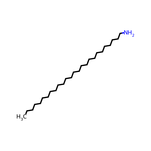 CCCCCCCCCCCCCCCCCCCCCCCCCCN